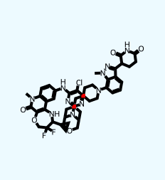 Cn1nc(C2CCC(=O)NC2=O)c2cccc(N3CCC(CN4CC5COCC(C4)N5c4ncc(Cl)c(Nc5ccc6c(c5)c5c(c(=O)n6C)OCC(F)(F)C(C6CC6)N5)n4)CC3)c21